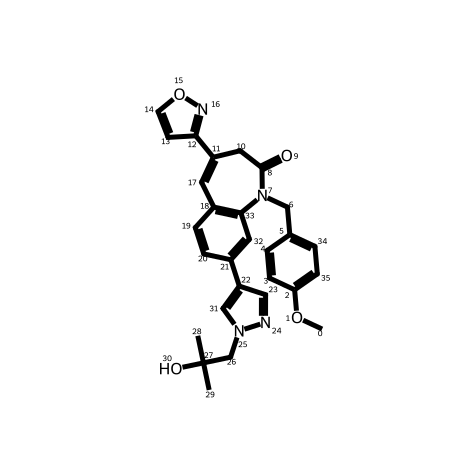 COc1ccc(CN2C(=O)CC(c3ccon3)=Cc3ccc(-c4cnn(CC(C)(C)O)c4)cc32)cc1